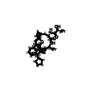 CC(C)[C@H](O)C(=O)N[C@H]1Cc2ccc3c(c2)C2(c4ccccc4NC2O3)c2oc(nc2C(=O)N2CCCC2)[C@H](C(C)C)NC1=O